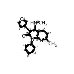 CNc1c(-c2ccoc2)c(=O)n(-c2ccccc2)c2nc(C)ccc12